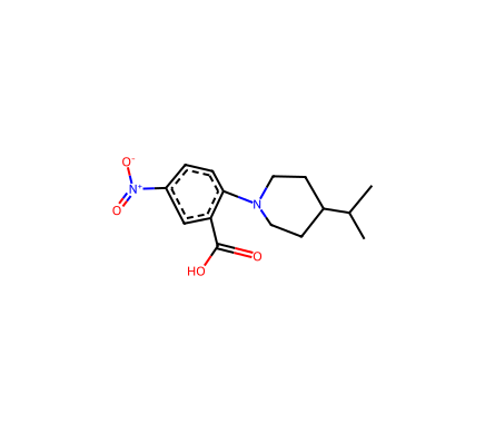 CC(C)C1CCN(c2ccc([N+](=O)[O-])cc2C(=O)O)CC1